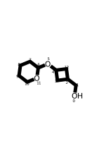 OCC1CC(OC2CCCCO2)C1